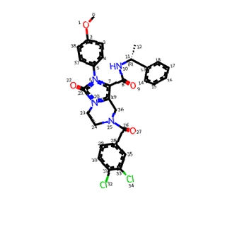 COc1ccc(-n2c(C(=O)N[C@H](C)c3ccccc3)c3n(c2=O)CCN(C(=O)c2ccc(Cl)c(Cl)c2)C3)cc1